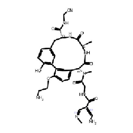 C/N=C\C(=C/N)C(=O)NCC(=O)N(C)[C@H]1C(=O)N[C@H](C)C(=O)N[C@@H](C(=O)NCC#N)Cc2ccc(O)c(c2)-c2cc1ccc2OCCN